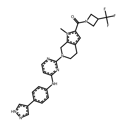 Cn1c(C(=O)N2CC(C(F)(F)F)C2)cc2c1CN(c1nccc(Nc3ccc(-c4cn[nH]c4)cc3)n1)CC2